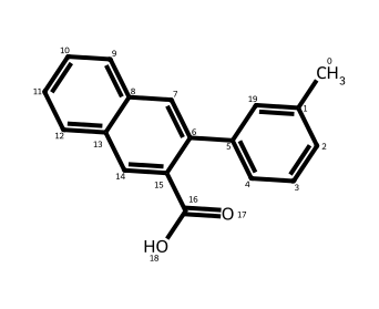 Cc1cccc(-c2cc3ccccc3cc2C(=O)O)c1